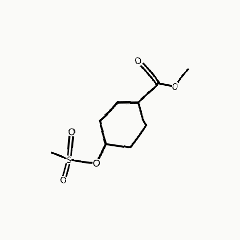 COC(=O)C1CCC(OS(C)(=O)=O)CC1